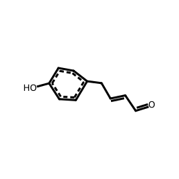 O=C/C=C/Cc1ccc(O)cc1